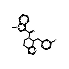 Cn1cc(C(=O)N2CCc3ccsc3C2Cc2cccc(Cl)c2)c2ccccc21